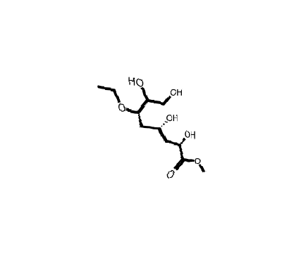 CCO[C@H](C[C@H](O)C[C@@H](O)C(=O)OC)C(O)CO